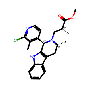 COC(=O)[C@H](C)CN1[C@H](c2ccnc(Cl)c2C)c2[nH]c3ccccc3c2C[C@H]1C